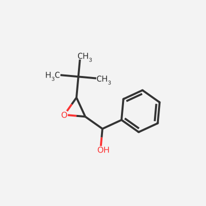 CC(C)(C)C1OC1C(O)c1ccccc1